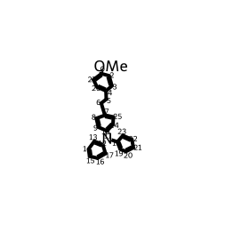 COc1ccc(CCc2ccc(N(c3ccccc3)c3ccccc3)cc2)cc1